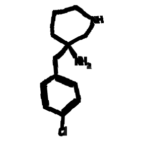 N[C@@]1(Cc2ccc(Cl)cc2)CCCNC1